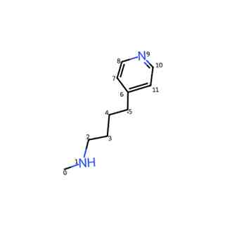 CNCCC[CH]c1ccncc1